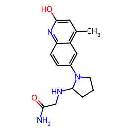 Cc1cc(O)nc2ccc(N3CCCC3NCC(N)=O)cc12